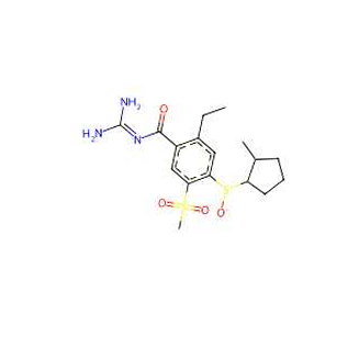 CCc1cc([S+]([O-])C2CCCC2C)c(S(C)(=O)=O)cc1C(=O)N=C(N)N